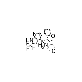 NC1([C@H]2COc3ccccc3[C@@H]2Nc2ncnc3[nH]c(C(F)(F)F)cc23)CCOCC1